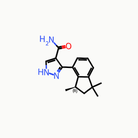 C[C@@H]1CC(C)(C)c2cccc(-c3n[nH]cc3C(N)=O)c21